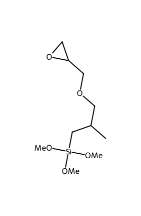 CO[Si](CC(C)COCC1CO1)(OC)OC